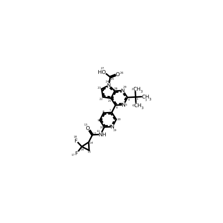 CC(C)(C)c1nc(-c2ccc(NC(=O)C3CC3(F)F)nc2)c2ccn(C(=O)O)c2n1